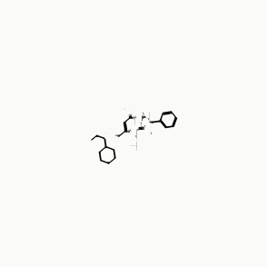 CCC(OCc1cc(=O)n2nc(-c3ccccc3)nc2[nH]1)C1CCCCC1